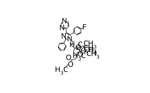 CCOC(=O)CC1CC(CCn2c(-c3ccccc3)nc(-c3ccncn3)c2-c2ccc(F)cc2)O[Si](C(C)(C)C)(C(C)(C)C)O1